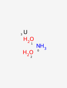 N.O.O.[U]